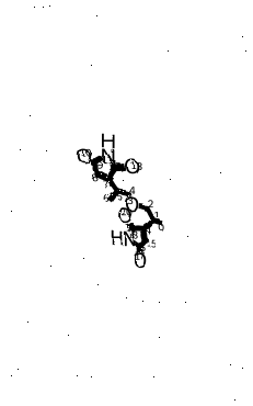 CC(COCC(C)C1=CC(=O)NC1=O)C1=CC(=O)NC1=O